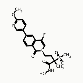 COc1ccc(-c2ccc3c(=O)n(CCC(C)(C(=O)NO)S(C)(=O)=O)cc(F)c3c2)cn1